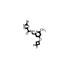 Cc1cc(OC2CC(F)(F)C2)cc(CNC(=O)c2nnc(Br)s2)n1